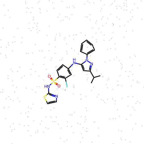 CC(C)c1cc(Nc2ccc(S(=O)(=O)Nc3nccs3)c(F)c2)n(-c2ccccc2)n1